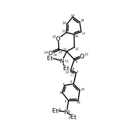 CCN(CC)c1ccc(/C=C/C(=O)C2(N(CC)CC)Cc3ccccc3OC2=O)cc1